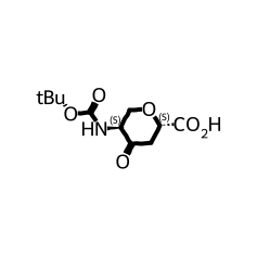 CC(C)(C)OC(=O)N[C@H]1CO[C@H](C(=O)O)CC1=O